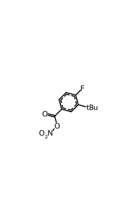 CC(C)(C)c1cc(C(=O)O[N+](=O)[O-])ccc1F